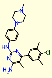 Cc1cc(-c2nc(Nc3ccc(N4CCN(C)CC4)cc3)nc(N)c2C)cc(C)c1Cl